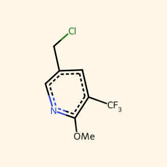 COc1ncc(CCl)cc1C(F)(F)F